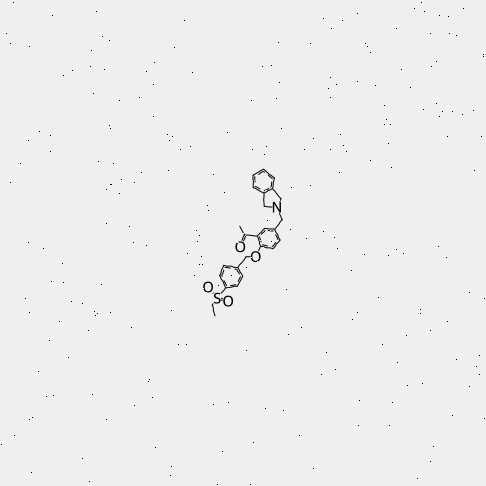 CCS(=O)(=O)c1ccc(COc2ccc(CN3Cc4ccccc4C3)cc2C(C)=O)cc1